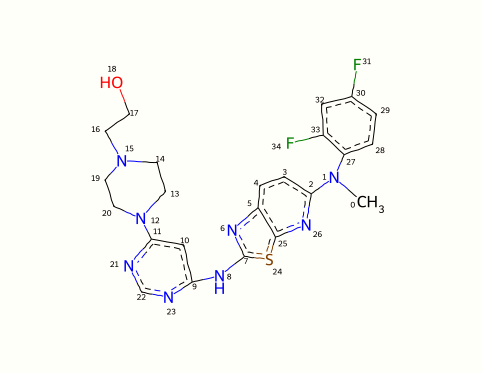 CN(c1ccc2nc(Nc3cc(N4CCN(CCO)CC4)ncn3)sc2n1)c1ccc(F)cc1F